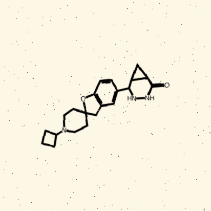 O=C1NNC(c2ccc3c(c2)CC2(CCN(C4CCC4)CC2)O3)C2CC12